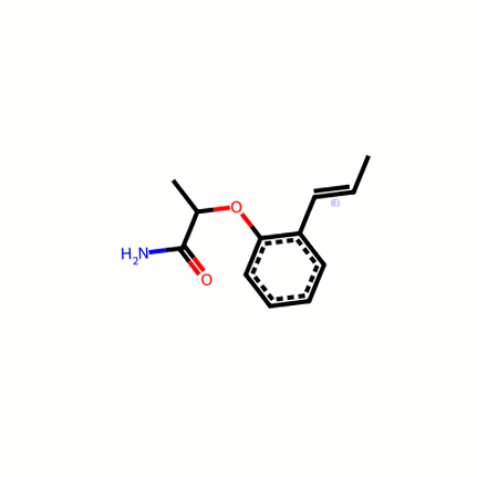 C/C=C/c1ccccc1OC(C)C(N)=O